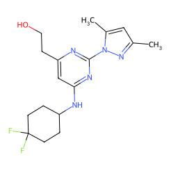 Cc1cc(C)n(-c2nc(CCO)cc(NC3CCC(F)(F)CC3)n2)n1